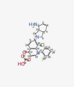 NC1C=CCC2CN(c3ccc4c(=O)c(OC(=O)O)cn(-c5ccc(F)cc5F)c4c3Cl)CC12